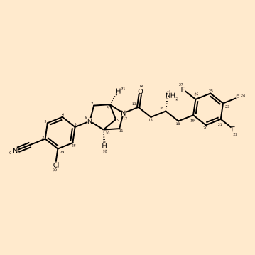 N#Cc1ccc(N2C[C@@H]3C[C@H]2CN3C(=O)C[C@H](N)Cc2cc(F)c(F)cc2F)cc1Cl